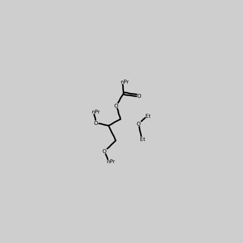 CCCOCC(COC(=O)CCC)OCCC.CCOCC